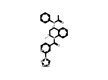 CC(=O)N(c1ccccc1)[C@H]1C[C@@H](C)N(C(=O)c2ccnc(-n3cnnn3)c2)c2ccccc21